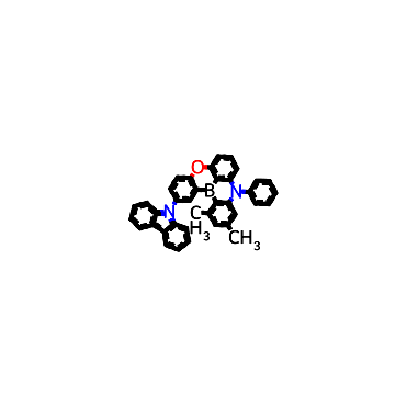 Cc1cc(C)c2c(c1)N(c1ccccc1)c1cccc3c1B2c1cc(-n2c4ccccc4c4ccccc42)ccc1O3